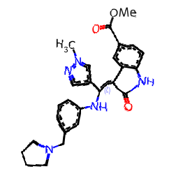 COC(=O)c1ccc2c(c1)/C(=C(/Nc1cccc(CN3CCCC3)c1)c1cnn(C)c1)C(=O)N2